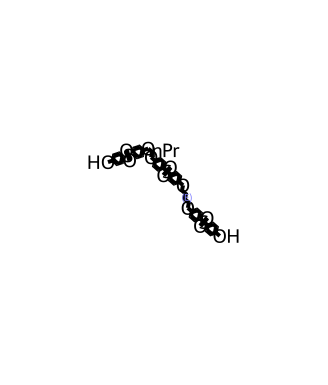 CCCC(Oc1ccc(S(=O)(=O)c2ccc(O)cc2)cc1)Oc1ccc(S(=O)(=O)c2ccc(OC/C=C/COc3ccc(S(=O)(=O)c4ccc(O)cc4)cc3)cc2)cc1